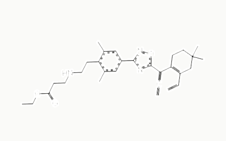 C=C=C(C1=C(C=C)CC(C)(C)CC1)c1nc(-c2cc(C)c(CCNCCC(=O)OCC)c(C)c2)no1